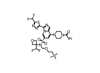 CC(C)C(=O)N1CCN(c2cc(S(=O)(=O)N(COCC[Si](C)(C)C)C3(C(F)F)COC3)cn3c(-c4nnc(C(F)F)s4)ncc23)CC1